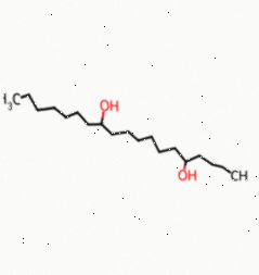 CCCCCCCC(O)CCCCCCC(O)CCCC